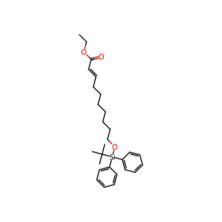 CCOC(=O)/C=C/CCCCCCCO[Si](c1ccccc1)(c1ccccc1)C(C)(C)C